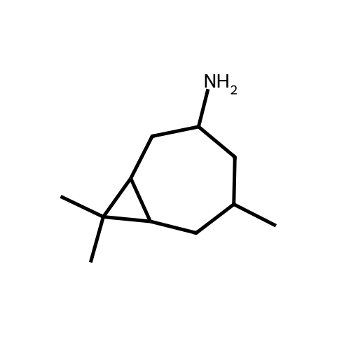 CC1CC(N)CC2C(C1)C2(C)C